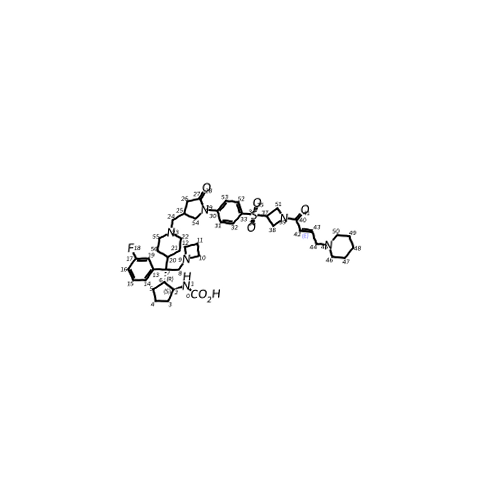 O=C(O)N[C@H]1CCC[C@@H]1C(CN1CCC1)(c1cccc(F)c1)C1CCN(CC2CC(=O)N(c3ccc(S(=O)(=O)C4CN(C(=O)/C=C/CN5CCCCC5)C4)cc3)C2)CC1